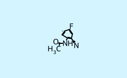 CC(=O)Nc1c[c]c(F)cc1C#N